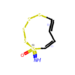 N=[S@]1(=O)/C=C\C=C\SSSS1